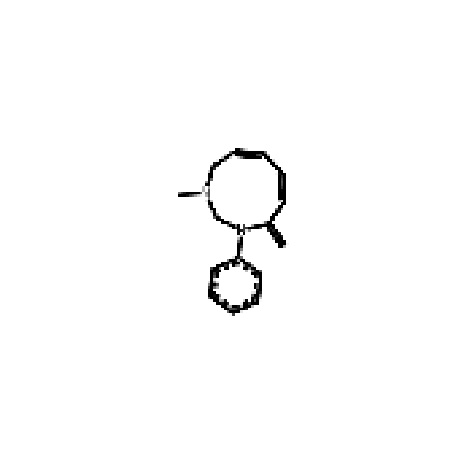 C=C1/C=C\C=C/CN(C)CN1c1ccccc1